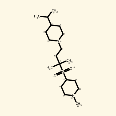 CC(C)C1CCN(CCC(C)(C)S(=O)(=O)C2CCN(C)CC2)CC1